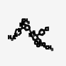 CCOC(=O)Cc1c(C)cc2nc(-c3ccc4c(c3)c(N3CCN(C)CC3)nn4C)sc2c1-c1ccc(Cl)cc1